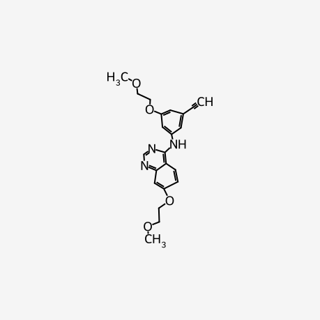 C#Cc1cc(Nc2ncnc3cc(OCCOC)ccc23)cc(OCCOC)c1